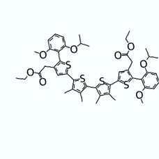 CCOC(=O)Cc1cc(-c2sc(-c3sc(-c4cc(CC(=O)OCC)c(-c5c(OC)cccc5OC(C)C)s4)c(C)c3C)c(C)c2C)sc1-c1c(OC)cccc1OC(C)C